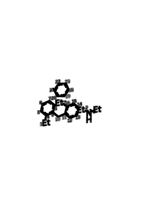 CCNCC.CCc1ccccc1Cc1ccccc1CC.c1ccccc1